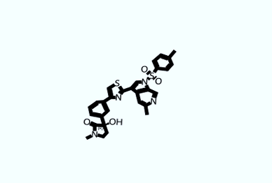 Cc1ccc(S(=O)(=O)n2cc(-c3nc(-c4cccc([C@]5(O)CCN(C)C5=O)c4)cs3)c3cc(C)ncc32)cc1